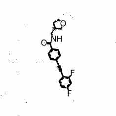 O=C(NC[C@H]1CCOC1)c1ccc(C#Cc2ccc(F)cc2F)cc1